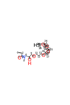 C=CC(=O)N(C)CC(O)COCCCO[Si](C)(C)O[Si](C)(C)O[Si](C)(C)O[SiH](C)C